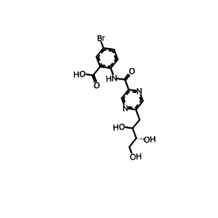 O=C(Nc1ccc(Br)cc1C(=O)O)c1cnc(CC(O)[C@H](O)CO)cn1